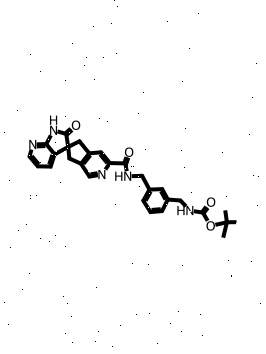 CC(C)(C)OC(=O)NCc1cccc(CNC(=O)c2cc3c(cn2)CC2(C3)C(=O)Nc3ncccc32)c1